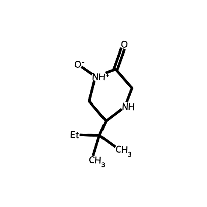 CCC(C)(C)C1C[NH+]([O-])C(=O)CN1